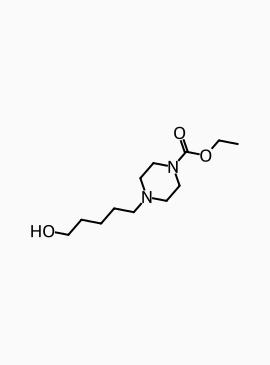 CCOC(=O)N1CCN(CCCCCO)CC1